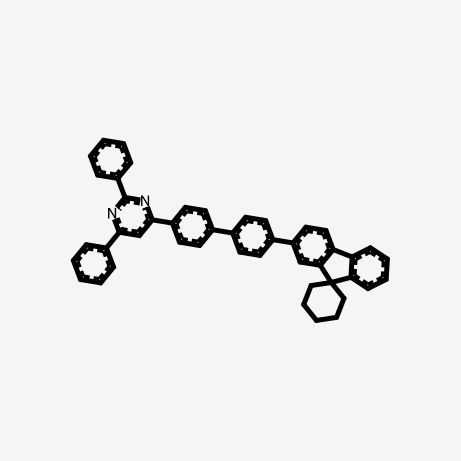 c1ccc(-c2cc(-c3ccc(-c4ccc(-c5ccc6c(c5)C5(CCCCC5)c5ccccc5-6)cc4)cc3)nc(-c3ccccc3)n2)cc1